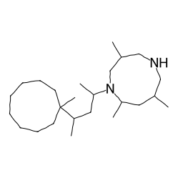 CC1CNCC(C)CN(C(C)CC(C)C2(C)CCCCCCCC2)C(C)C1